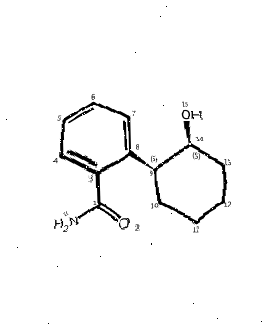 NC(=O)c1ccccc1[C@@H]1CCCC[C@@H]1O